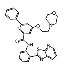 O=C(Nc1ccccc1-c1nc2cccnc2s1)c1cc(OCCN2CCOCC2)cc(-c2ccccc2)n1